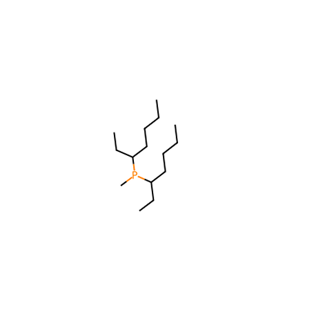 CCCCC(CC)P(C)C(CC)CCCC